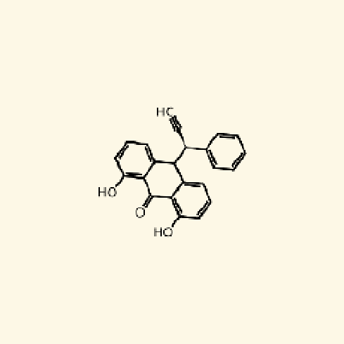 C#C[C@@H](c1ccccc1)C1c2cccc(O)c2C(=O)c2c(O)cccc21